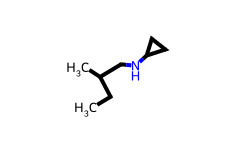 CCC(C)CNC1CC1